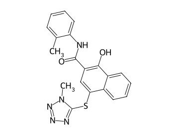 Cc1ccccc1NC(=O)c1cc(Sc2nnnn2C)c2ccccc2c1O